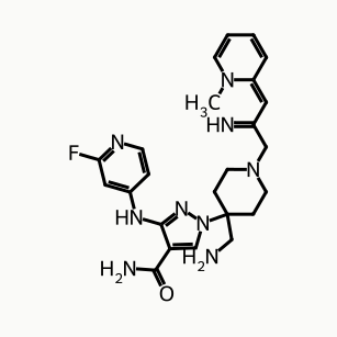 CN1C=CC=C/C1=C/C(=N)CN1CCC(CN)(n2cc(C(N)=O)c(Nc3ccnc(F)c3)n2)CC1